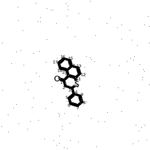 O=C1CC(c2ccccc2)Sc2ccc3ccccc3c21